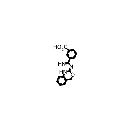 N=C(/N=C1\Nc2ccccc2CO1)c1cccc(C(=O)O)c1